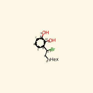 CCCCCCCC(Br)c1cccc(O)c1O